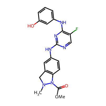 COC(=O)N1c2ccc(Nc3ncc(F)c(Nc4cccc(O)c4)n3)cc2CN1C